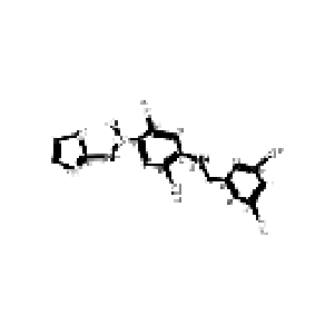 [O-][S+](Nc1nccs1)c1cc(Cl)c(NCc2cc(Cl)cc(Cl)c2)cc1F